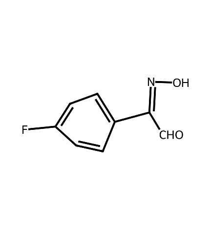 O=CC(=NO)c1ccc(F)cc1